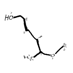 CCOC(C)CCCO